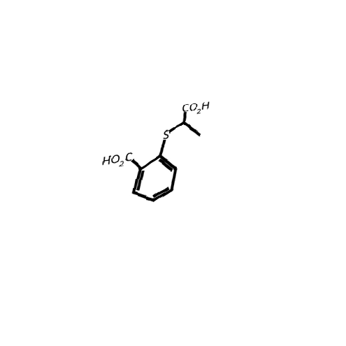 CC(Sc1ccccc1C(=O)O)C(=O)O